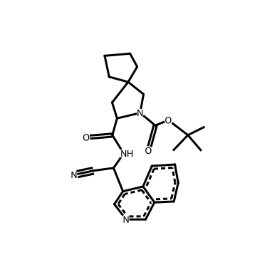 CC(C)(C)OC(=O)N1CC2(CCCC2)CC1C(=O)NC(C#N)c1cncc2ccccc12